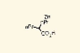 CCCC(CCC)C(=O)O.[Zn]